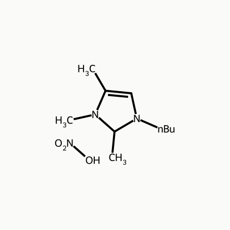 CCCCN1C=C(C)N(C)C1C.O=[N+]([O-])O